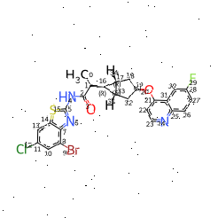 CC(C(=O)Nc1nc2c(Br)cc(Cl)cc2s1)[C@H]1[C@@H]2C[C@@H](Oc3ccnc4ccc(F)cc34)C[C@@H]21